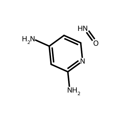 N=O.Nc1ccnc(N)c1